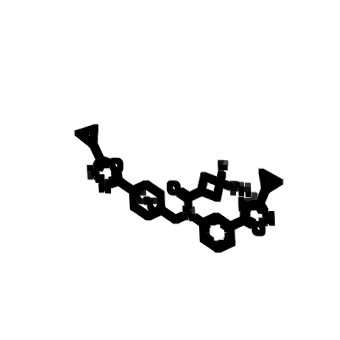 O=C(C1CC(F)(P)C1)N(CC12CCC(c3nnc(C4CC4)o3)(CC1)CC2)c1cccc(-c2nc(C3CC3)no2)c1